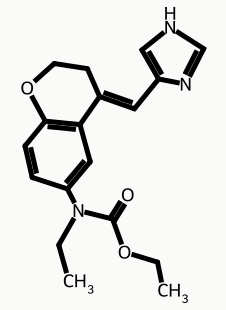 CCOC(=O)N(CC)c1ccc2c(c1)/C(=C/c1c[nH]cn1)CCO2